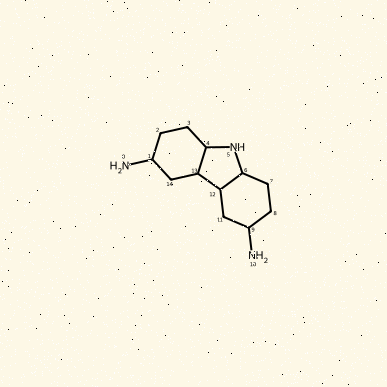 NC1CCC2NC3CCC(N)CC3C2C1